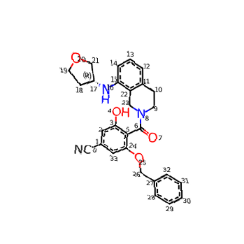 N#Cc1cc(O)c(C(=O)N2CCc3cccc(N[C@@H]4CCOC4)c3C2)c(OCc2ccccc2)c1